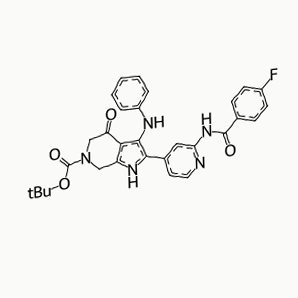 CC(C)(C)OC(=O)N1CC(=O)c2c([nH]c(-c3ccnc(NC(=O)c4ccc(F)cc4)c3)c2Nc2ccccc2)C1